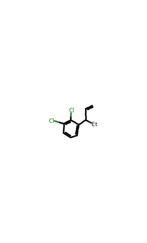 C=CC(CC)c1cccc(Cl)c1Cl